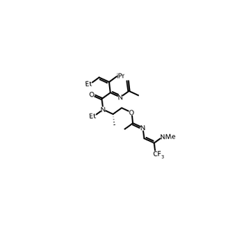 C=C(C)/N=C(C(=O)N(CC)[C@@H](C)CO/C(C)=N/C=C(\NC)C(F)(F)F)\C(=C/CC)C(C)C